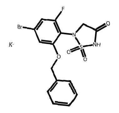 O=C1CN(c2c(F)cc(Br)cc2OCc2ccccc2)S(=O)(=O)N1.[K]